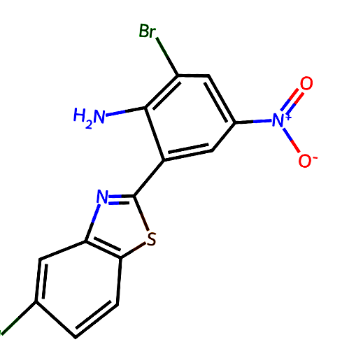 Nc1c(Br)cc([N+](=O)[O-])cc1-c1nc2cc(Cl)ccc2s1